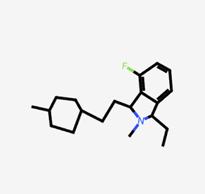 CCC1c2cccc(F)c2C(CCC2CCC(C)CC2)N1C